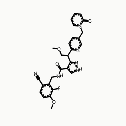 COCC(c1ccc(Cn2ccccc2=O)cn1)c1n[nH]cc1C(=O)NCc1c(C#N)ccc(OC)c1F